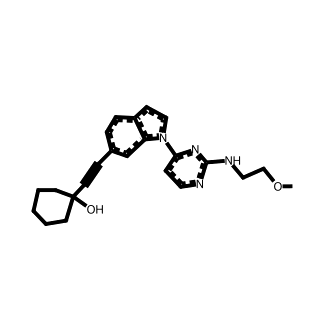 COCCNc1nccc(-n2ccc3ccc(C#CC4(O)CCCCC4)cc32)n1